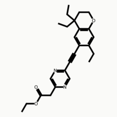 CCOC(=O)Cc1cnc(C#Cc2cc3c(cc2CC)OCCC3(CC)CC)cn1